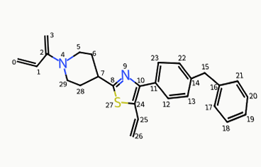 C=CC(=C)N1CCC(c2nc(-c3ccc(Cc4ccccc4)cc3)c(C=C)s2)CC1